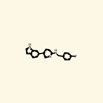 Fc1ccc(CNc2ccc(-c3ccc4cc[nH]c4c3)cn2)cc1